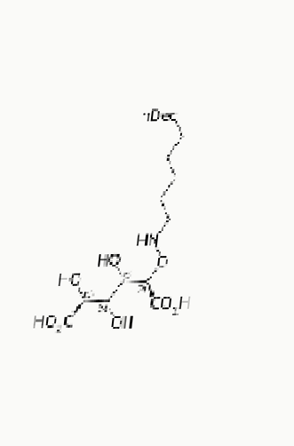 CCCCCCCCCCCCCCCNO[C@@H](C(=O)O)[C@@H](O)[C@H](O)[C@H](O)C(=O)O